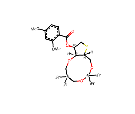 COc1ccc(C(=O)O[C@H]2CS[C@@H]3CO[Si](C(C)C)(C(C)C)OC[Si](C(C)C)(C(C)C)CO[C@@H]23)c(OC)c1